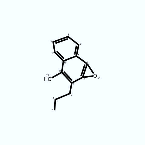 CCCc1c2c(c3ccccc3c1O)O2